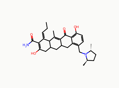 CC/C=C1/C(C(N)=O)=C(O)CC2CC3Cc4c(CN5[C@H](C)CC[C@H]5C)ccc(O)c4C(=O)C3=C(C)C12